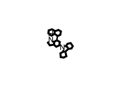 c1ccc2c(-c3cc(-n4c5ccccc5c5ccccc54)cc4cc[nH]c34)cccc2c1